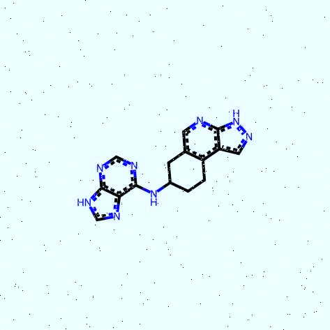 c1nc(NC2CCc3c(cnc4[nH]ncc34)C2)c2nc[nH]c2n1